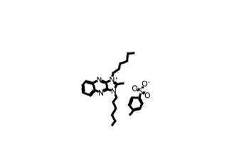 CCCCCCn1c(C)[n+](CCCCCC)c2nc3ccccc3nc21.Cc1ccc(S(=O)(=O)[O-])cc1